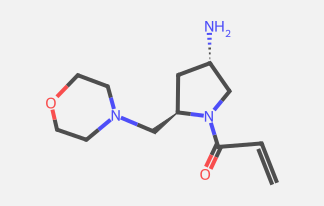 C=CC(=O)N1C[C@@H](N)C[C@@H]1CN1CCOCC1